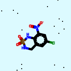 O=[N+]([O-])c1cc(Cl)cc2c1NS(=O)(=O)NC2